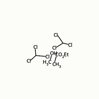 CCOC(C)=O.CO.ClC(Cl)Cl.ClC(Cl)Cl